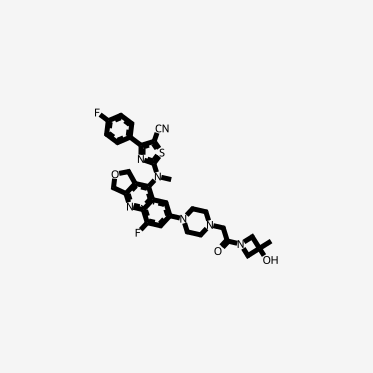 CN(c1nc(-c2ccc(F)cc2)c(C#N)s1)c1c2c(nc3c(F)cc(N4CCN(CC(=O)N5CC(C)(O)C5)CC4)cc13)COC2